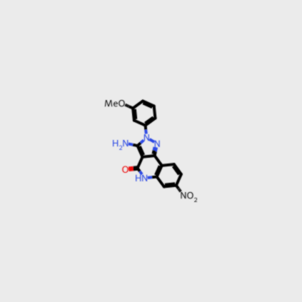 COc1cccc(-n2nc3c(c2N)c(=O)[nH]c2cc([N+](=O)[O-])ccc23)c1